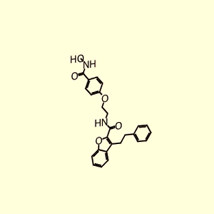 O=C(NO)c1ccc(OCCNC(=O)c2oc3ccccc3c2CCc2ccccc2)cc1